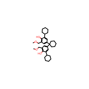 COCc1cc(C2(c3cc(COC)c(O)c(C4CCCCC4)c3)CCCCC2)cc(C2CCCCC2)c1O